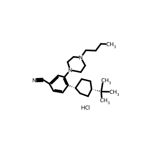 CCCCN1CCN(c2cc(C#N)ccc2[C@H]2CC[C@@H](C(C)(C)C)CC2)CC1.Cl